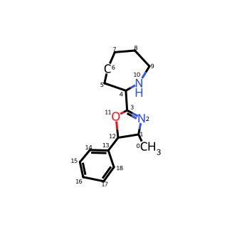 CC1N=C(C2CCCCCN2)OC1c1ccccc1